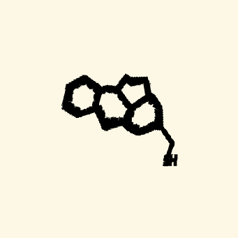 SCc1cc2c3c(c4ccccc4cc3c1)C=C2